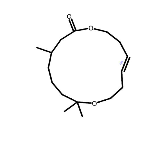 CC1CCCC(C)(C)OCC/C=C/CCOC(=O)C1